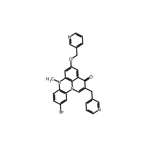 CN1c2ccc(Br)cc2-n2cc(Cc3cccnc3)c(=O)c3cc(OCc4cccnc4)cc1c32